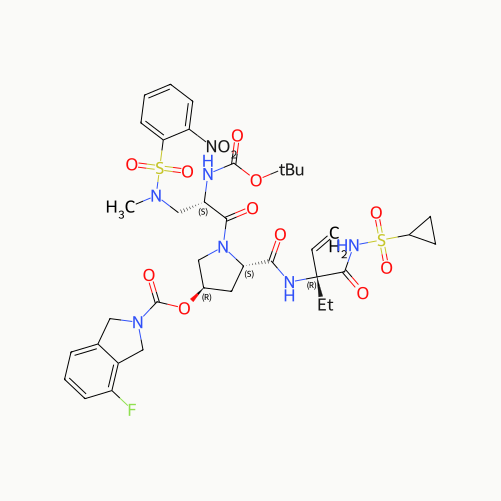 C=C[C@@](CC)(NC(=O)[C@@H]1C[C@@H](OC(=O)N2Cc3cccc(F)c3C2)CN1C(=O)[C@H](CN(C)S(=O)(=O)c1ccccc1[N+](=O)[O-])NC(=O)OC(C)(C)C)C(=O)NS(=O)(=O)C1CC1